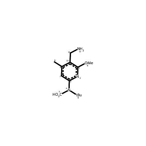 COc1nc(N(C(=O)O)C(C)(C)C)cc(C)c1CN